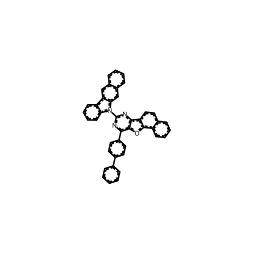 c1ccc(-c2ccc(-c3nc(-n4c5ccccc5c5cc6ccccc6cc54)nc4c3oc3c5ccccc5ccc43)cc2)cc1